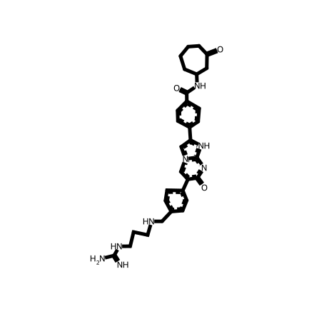 N=C(N)NCCCNCc1ccc(-c2cn3cc(-c4ccc(C(=O)NC5CCCCC(=O)C5)cc4)[nH]c3nc2=O)cc1